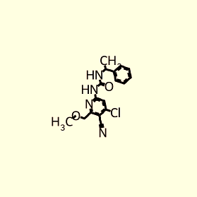 COCc1nc(NC(=O)NC(C)c2ccccc2)cc(Cl)c1C#N